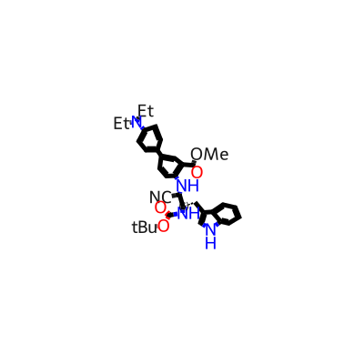 CCN(CC)c1ccc(-c2ccc(NC(C#N)[C@H](Cc3c[nH]c4ccccc34)NC(=O)OC(C)(C)C)c(C(=O)OC)c2)cc1